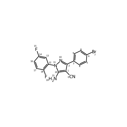 N#Cc1c(-c2ccc(Br)cc2)nn(-c2cc(F)ccc2F)c1N